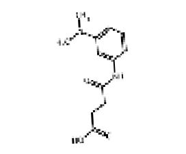 CN(C)c1cccc(NC(=O)CCC(=O)O)c1